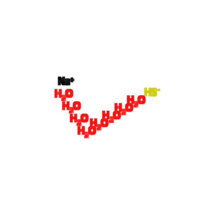 O.O.O.O.O.O.O.O.[Na+].[SH-]